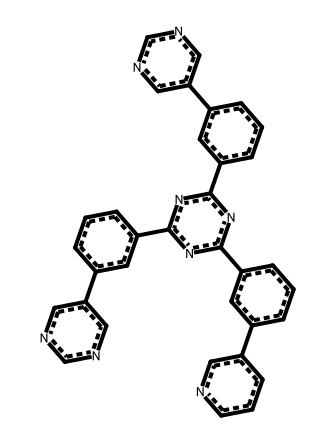 c1cncc(-c2cccc(-c3nc(-c4cccc(-c5cncnc5)c4)nc(-c4cccc(-c5cncnc5)c4)n3)c2)c1